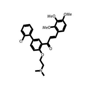 COc1ccc(C=CC(=O)c2cc(-c3ccccc3Cl)ccc2OCCN(C)C)c(OC)c1OC